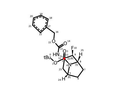 CC(C)(C)OC(=O)N1[C@@H]2CC[C@H]1[C@H](F)[C@@H](NC(=O)OCc1ccccc1)C2